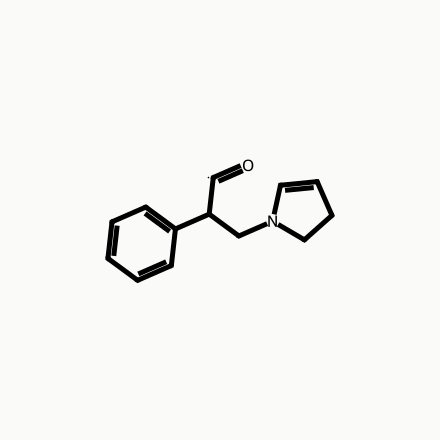 O=[C]C(CN1C=CCC1)c1ccccc1